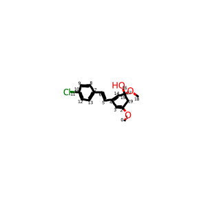 COC1=CC(/C=C/c2ccc(Cl)cc2)=CC(O)(OC)C1